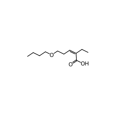 CCCCOCCC=C(CC)C(=O)O